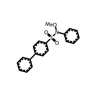 CON(c1ccccc1)S(=O)(=O)c1ccc(-c2ccccc2)cc1